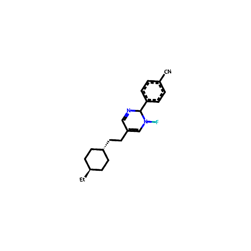 CC[C@H]1CC[C@H](CCC2=CN(F)C(c3ccc(C#N)cc3)N=C2)CC1